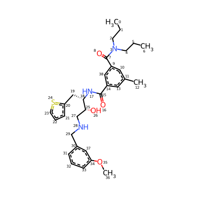 CCCN(CCC)C(=O)c1cc(C)cc(C(=O)N[C@@H](Cc2cccs2)[C@H](O)CNCc2cccc(OC)c2)c1